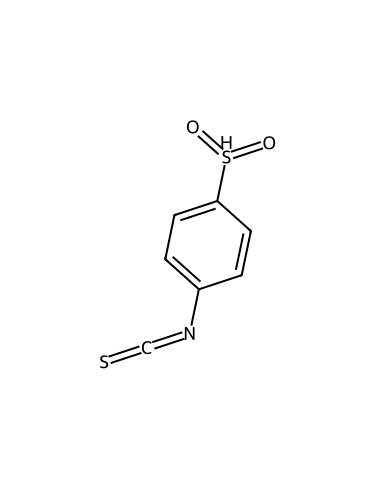 O=[SH](=O)c1ccc(N=C=S)cc1